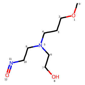 COCCCN(CCO)CCN=O